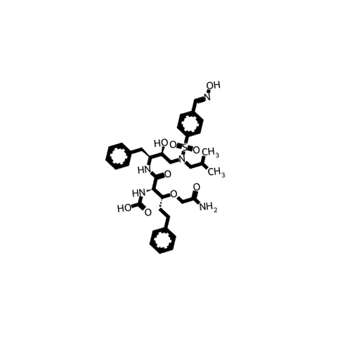 CC(C)CN(C[C@H](O)[C@H](Cc1ccccc1)NC(=O)[C@@H](NC(=O)O)[C@@H](CCc1ccccc1)OCC(N)=O)S(=O)(=O)c1ccc(C=NO)cc1